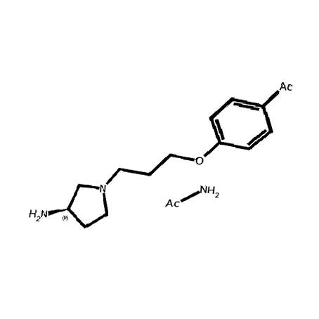 CC(=O)c1ccc(OCCCN2CC[C@@H](N)C2)cc1.CC(N)=O